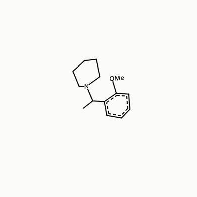 COc1ccccc1C(C)N1CCCCC1